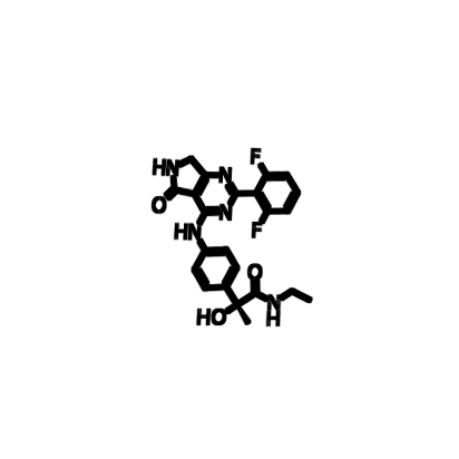 CCNC(=O)[C@](C)(O)c1ccc(Nc2nc(-c3c(F)cccc3F)nc3c2C(=O)NC3)cc1